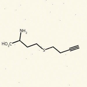 C#CCCSCCC(N)C(=O)O